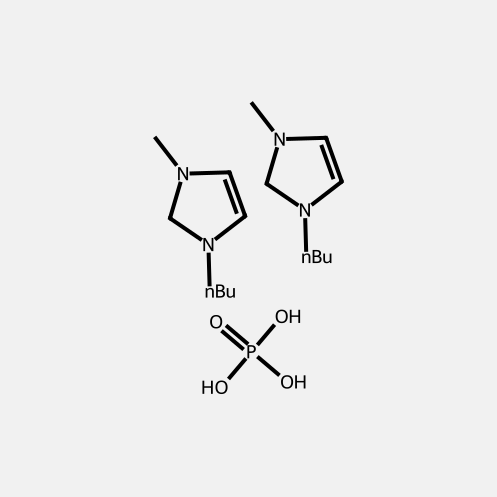 CCCCN1C=CN(C)C1.CCCCN1C=CN(C)C1.O=P(O)(O)O